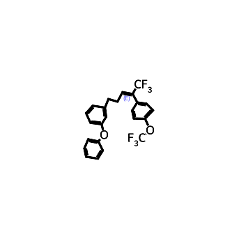 FC(F)(F)Oc1ccc(/C(=C\CCc2cccc(Oc3ccccc3)c2)C(F)(F)F)cc1